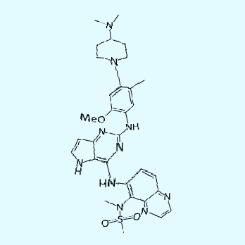 COc1cc(N2CCC(N(C)C)CC2)c(C)cc1Nc1nc(Nc2ccc3nccnc3c2N(C)S(C)(=O)=O)c2[nH]ccc2n1